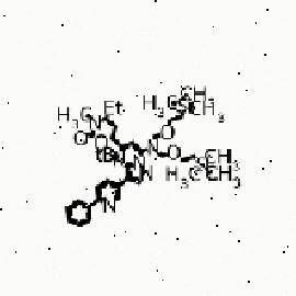 CCC(CCc1cc(N(COCC[Si](C)(C)C)COCC[Si](C)(C)C)n2ncc(-c3ccc(-c4ccccc4)nc3)c2n1)N(C)C(=O)OC(C)(C)C